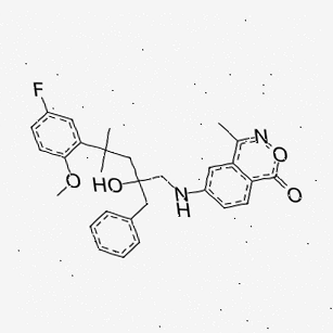 COc1ccc(F)cc1C(C)(C)CC(O)(CNc1ccc2c(=O)onc(C)c2c1)Cc1ccccc1